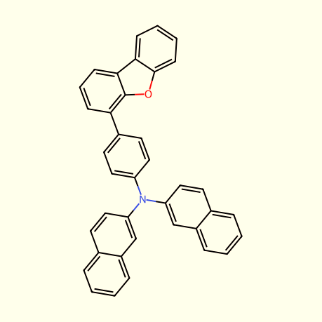 c1ccc2cc(N(c3ccc(-c4cccc5c4oc4ccccc45)cc3)c3ccc4ccccc4c3)ccc2c1